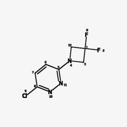 FC1(F)CN(c2ccc(Cl)nn2)C1